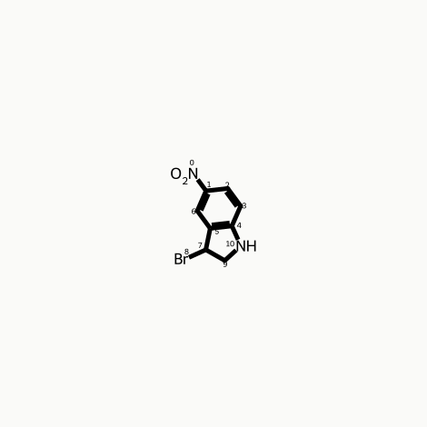 O=[N+]([O-])c1ccc2c(c1)C(Br)CN2